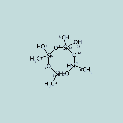 C[SiH]1O[SiH](C)O[Si](C)(O)O[Si](C)(O)O1